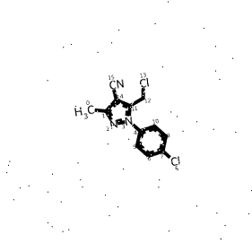 Cc1nn(-c2ccc(Cl)cc2)c(CCl)c1C#N